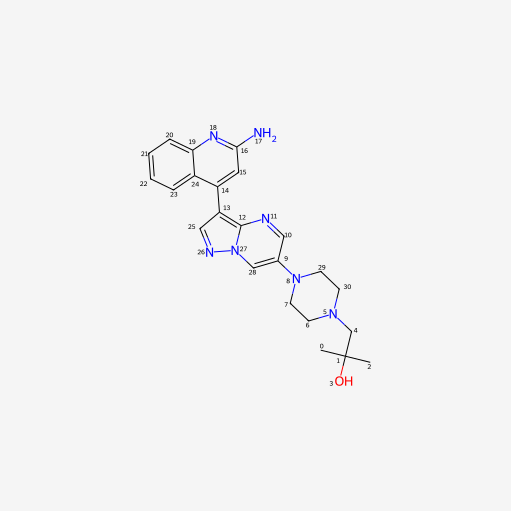 CC(C)(O)CN1CCN(c2cnc3c(-c4cc(N)nc5ccccc45)cnn3c2)CC1